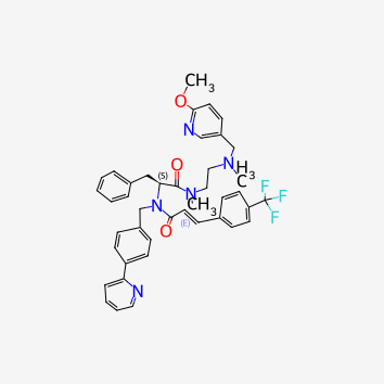 COc1ccc(CN(C)CCN(C)C(=O)[C@H](Cc2ccccc2)N(Cc2ccc(-c3ccccn3)cc2)C(=O)/C=C/c2ccc(C(F)(F)F)cc2)cn1